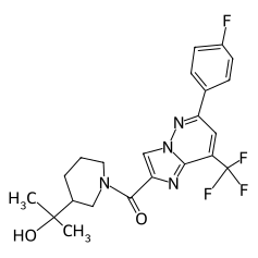 CC(C)(O)C1CCCN(C(=O)c2cn3nc(-c4ccc(F)cc4)cc(C(F)(F)F)c3n2)C1